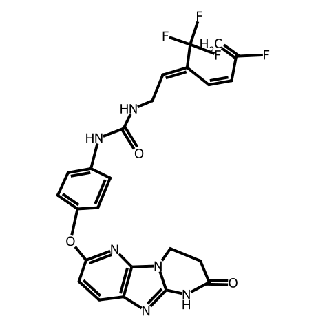 C=C(F)/C=C\C(=C/CNC(=O)Nc1ccc(Oc2ccc3nc4n(c3n2)CCC(=O)N4)cc1)C(F)(F)F